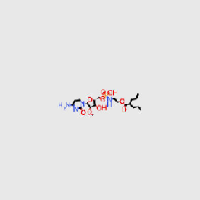 CCCC(CCC)C(=O)OCCNP(=O)(O)OC[C@H]1O[C@@H](n2ccc(N)nc2=O)C(OC)C1O